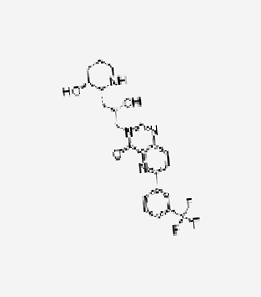 O=c1c2nc(-c3cccc(C(F)(F)F)c3)ccc2ncn1C[C@@H](O)C[C@H]1NCCC[C@@H]1O